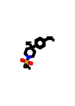 CS(=O)(=O)N1CCC(C#N)(c2ccc([N+](=O)[O-])cc2)CC1